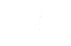 CCC[CH2][Sn]([CH2]CCC)([CH2]CCC)[CH2]CCC.CC[Si](CC)(CC)CC.C[Si](C)(C)C